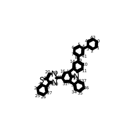 c1ccc(-c2cccc(-c3ccc4c(c3)c3cc(-c5ncc6sc7ccccc7c6n5)cc5c6ccccc6n4c53)c2)cc1